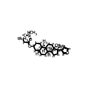 C[SiH](C)OC(CC(C)(C)C)O[C@H]1CC[C@@]2(C)[C@H](CC[C@@H]3[C@@H]2CC[C@@]2(C)[C@H]3CC[C@@]2(O)c2ccoc2)C1